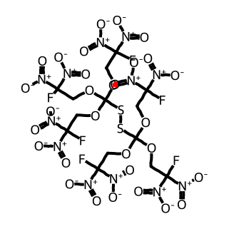 O=[N+]([O-])C(F)(COC(OCC(F)([N+](=O)[O-])[N+](=O)[O-])(OCC(F)([N+](=O)[O-])[N+](=O)[O-])SSC(OCC(F)([N+](=O)[O-])[N+](=O)[O-])(OCC(F)([N+](=O)[O-])[N+](=O)[O-])OCC(F)([N+](=O)[O-])[N+](=O)[O-])[N+](=O)[O-]